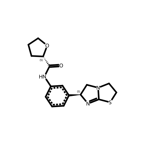 O=C(Nc1cccc([C@H]2CN3CCSC3=N2)c1)[C@@H]1CCCO1